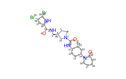 O=C(NC[C@H]1CCN(C(=O)Nc2ccc(-n3ccccc3=O)cc2F)C1)c1cc(Br)c(Br)[nH]1